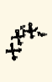 O=P([O-])(F)F.O=P([O-])(F)F.O=P([O-])(F)F.[Fe+2].[Li+]